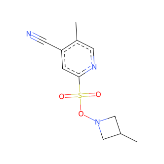 Cc1cnc(S(=O)(=O)ON2CC(C)C2)cc1C#N